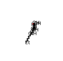 CC/C=C\C/C=C\C/C=C\C/C=C\C/C=C\C/C=C\CCC(=O)NCCOCCNC(=O)[C@]12CC[C@@H](C)[C@H](C)[C@H]1C1=CC[C@@H]3[C@@]4(C)C[C@@H](O)[C@H](O)C(C)(C)[C@@H]4CC[C@@]3(C)[C@]1(C)CC2